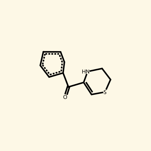 O=C(C1=CSCCN1)c1ccccc1